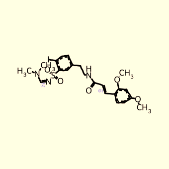 COc1ccc(/C=C/C(=O)NCCc2ccc(I)c(S(=O)(=O)/N=C\N(C)C)c2)c(OC)c1